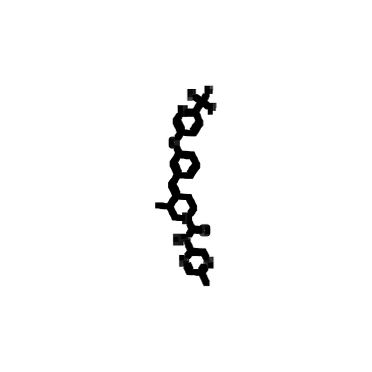 Cc1cnc(NC(=O)N2CC/C(=C\c3cccc(Oc4ccc(C(F)(F)F)nc4)c3)C(C)C2)cn1